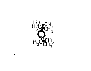 CC(C)C(C)(C)C1=CCCN(C(C)(C)C)CC1